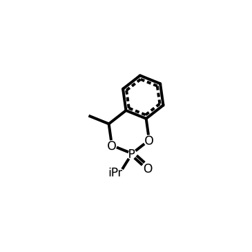 CC1OP(=O)(C(C)C)Oc2ccccc21